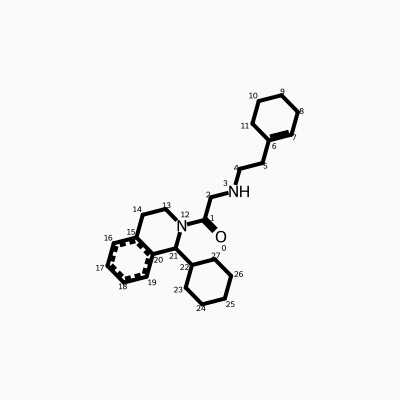 O=C(CNCCC1=CCCCC1)N1CCc2ccccc2C1C1CCCCC1